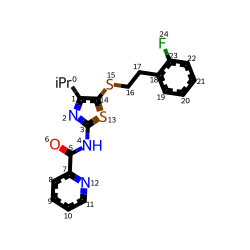 CC(C)c1nc(NC(=O)c2ccccn2)sc1SCCc1ccccc1F